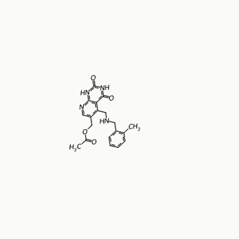 CC(=O)OCc1cnc2[nH]c(=O)[nH]c(=O)c2c1CNCc1ccccc1C